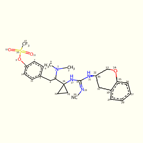 CN(C)C(Cc1ccc(OS(=O)(=O)C(F)(F)F)cc1)C1(NC(=NC#N)N[C@H]2COc3ccccc3C2)CC1